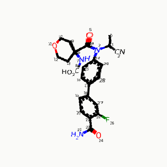 CC(C#N)N(C(=O)C1(NC(=O)O)CCOCC1)c1ccc(-c2ccc(C(N)=O)c(F)c2)cc1